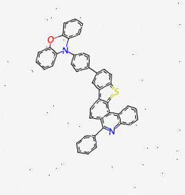 c1ccc(-c2nc3ccccc3c3c2ccc2c4cc(-c5ccc(N6c7ccccc7Oc7ccccc76)cc5)ccc4sc23)cc1